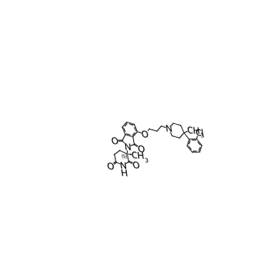 CC1(c2ccccc2Cl)CCN(CCCOc2cccc3c2C(=O)N([C@@]2(C)CCC(=O)NC2=O)C3=O)CC1